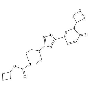 O=C(OC1CCC1)N1CCC(c2noc(-c3ccc(=O)n(C4COC4)c3)n2)CC1